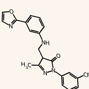 CC1=NN(c2cccc(C(F)(F)F)c2)C(=O)C1CNc1cccc(-c2ncco2)c1